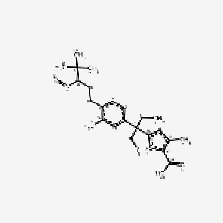 CCC(CC)(c1ccc(CCC(N=O)C(C)(C)C)c(C)c1)c1cc(C)c(C(=O)O)s1